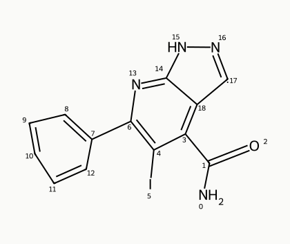 NC(=O)c1c(I)c(-c2ccccc2)nc2[nH]n[c]c12